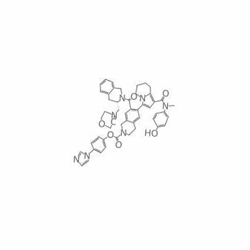 CN(C(=O)c1cc(-c2cc3c(cc2C(=O)N2Cc4ccccc4C[C@H]2CN2CCOCC2)CN(C(=O)Oc2ccc(-n4ccnc4)cc2)CC3)n2c1CCCC2)c1ccc(O)cc1